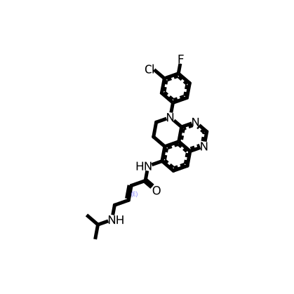 CC(C)NC/C=C/C(=O)Nc1ccc2ncnc3c2c1CCN3c1ccc(F)c(Cl)c1